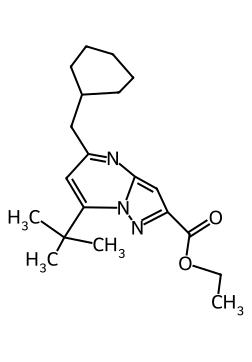 CCOC(=O)c1cc2nc(CC3CCCCC3)cc(C(C)(C)C)n2n1